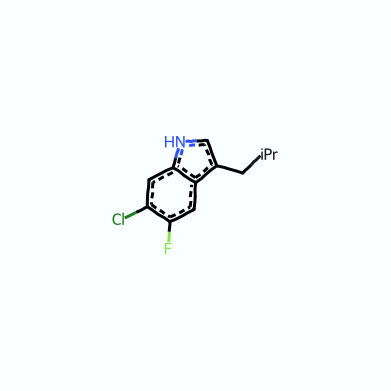 CC(C)Cc1c[nH]c2cc(Cl)c(F)cc12